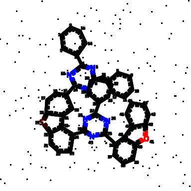 c1ccc(-c2nc(-c3ccccc3)nc(-c3ccc4sc5cccc(-c6nc(-c7ccccc7)nc(-c7cccc8oc9ccccc9c78)n6)c5c4c3)n2)cc1